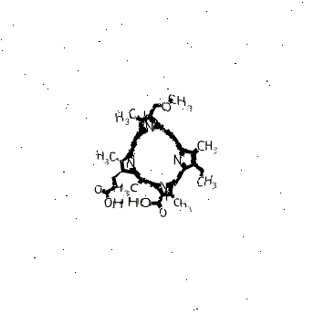 CCC1=C(C)c2cc3[nH]c(cc4nc(c(C)c5[nH]c(cc1n2)c(C)c5C(=O)O)[C@@H](CCC(=O)O)[C@@H]4C)c(C)c3COC